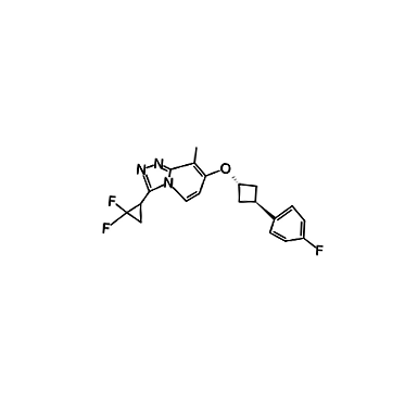 Cc1c(O[C@H]2C[C@H](c3ccc(F)cc3)C2)ccn2c(C3CC3(F)F)nnc12